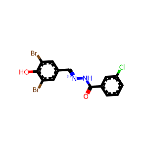 O=C(N/N=C/c1cc(Br)c(O)c(Br)c1)c1cccc(Cl)c1